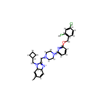 CC1=CC2C(C=C1)N=C(CN1CCN(c3cccc(OCc4ccc(Cl)cc4F)n3)CC1)N2CC1CCC1